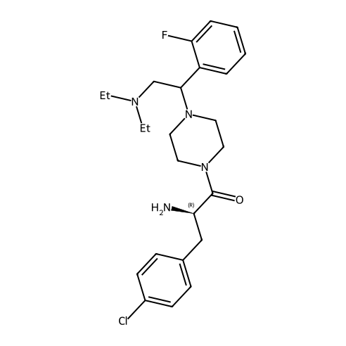 CCN(CC)CC(c1ccccc1F)N1CCN(C(=O)[C@H](N)Cc2ccc(Cl)cc2)CC1